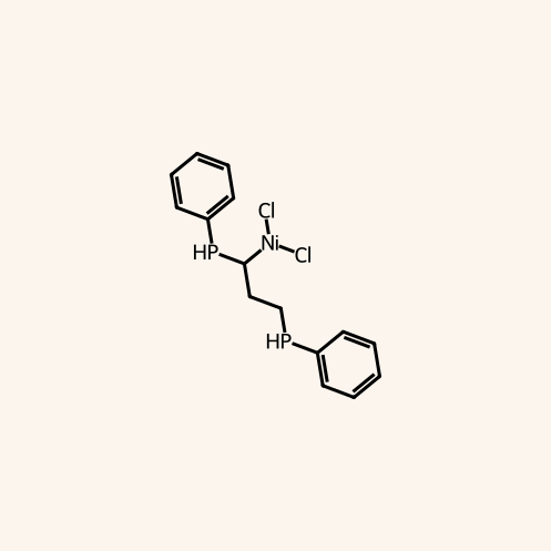 [Cl][Ni]([Cl])[CH](CCPc1ccccc1)Pc1ccccc1